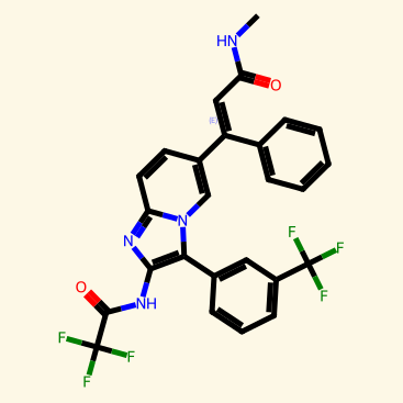 CNC(=O)/C=C(\c1ccccc1)c1ccc2nc(NC(=O)C(F)(F)F)c(-c3cccc(C(F)(F)F)c3)n2c1